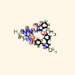 Cc1ccc(-c2cc(C(F)(F)F)nn2-c2ccc(S(=O)(=O)NC(=O)[C@H](C(C)C)N(C)/[N+]([O-])=N/OCN3C(=O)c4ccccc4C3=O)cc2)cc1